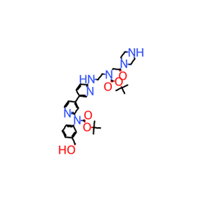 CC(C)(C)OC(=O)N(CCNc1ccc(-c2ccnc(N(C(=O)OC(C)(C)C)c3cccc(CO)c3)c2)cn1)CC(=O)N1CCNCC1